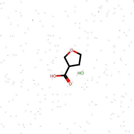 Cl.O=C(O)C1CCOC1